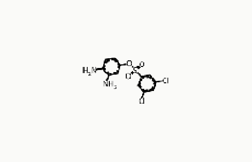 Nc1ccc(OS(=O)(=O)c2cc(Cl)cc(Cl)c2)cc1N